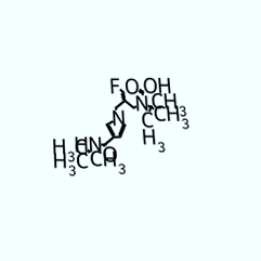 CC(C)(C)NC(=O)c1ccn(C/C(=C\F)CN(C(=O)O)C(C)(C)C)c1